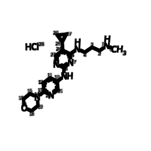 CNCCCNc1nc(Nc2ccc(N3CCOCC3)nc2)ncc1C1CC1.Cl